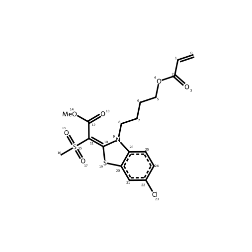 C=CC(=O)OCCCCN1/C(=C(\C(=O)OC)S(C)(=O)=O)Sc2cc(Cl)ccc21